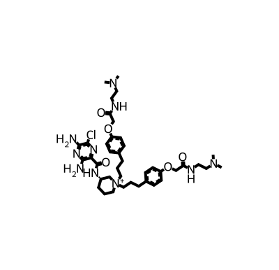 CN(C)CCNC(=O)COc1ccc(CCC[N+]2(CCCc3ccc(OCC(=O)NCCN(C)C)cc3)CCC[C@H](NC(=O)c3nc(Cl)c(N)nc3N)C2)cc1